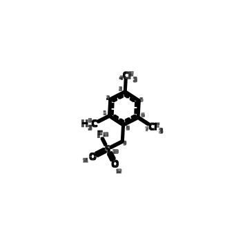 Cc1cc(C(F)(F)F)cc(C(F)(F)F)c1CS(=O)(=O)F